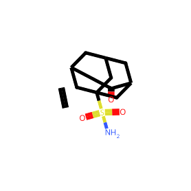 C=C.NS(=O)(=O)C12CC3CC(C1)C(=O)C(C3)C2